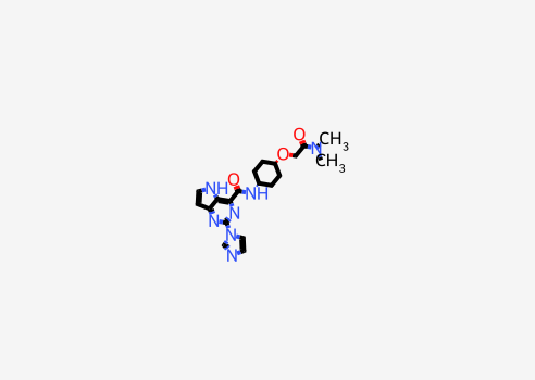 CN(C)C(=O)CO[C@H]1CC[C@H](NC(=O)c2nc(-n3ccnc3)nc3cc[nH]c23)CC1